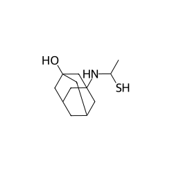 CC(S)NC12CC3CC(CC(O)(C3)C1)C2